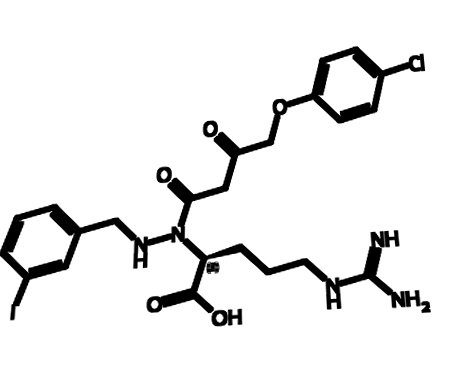 N=C(N)NCCC[C@@H](C(=O)O)N(NCc1cccc(I)c1)C(=O)CC(=O)COc1ccc(Cl)cc1